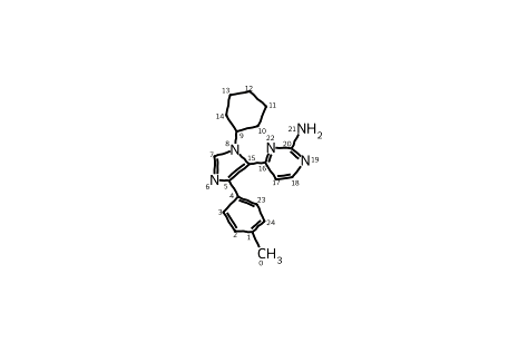 Cc1ccc(-c2ncn(C3CCCCC3)c2-c2ccnc(N)n2)cc1